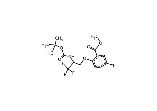 COC(=O)c1cc(F)ccc1OCC(NC(=O)OC(C)(C)C)C(F)(F)F